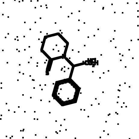 Cl.O=C(O)C(c1ccccc1)N1CCCCC1=S